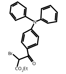 CCOC(=O)C(Br)C(=O)c1ccc(N(c2ccccc2)c2ccccc2)cc1